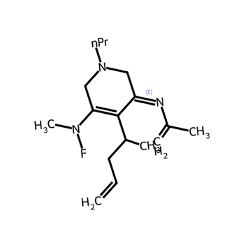 C=CCC(C)C1=C(N(C)F)CN(CCC)C/C1=N/C(=C)C